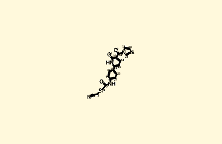 N#CCSCC(=O)Nc1ccc(-c2ccc(C(=O)n3ccnc3)c(=O)[nH]2)cc1